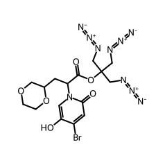 [N-]=[N+]=NCC(CN=[N+]=[N-])(CN=[N+]=[N-])OC(=O)C(CC1COCCO1)n1cc(O)c(Br)cc1=O